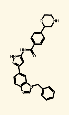 O=C(Nc1cc(-c2ccc3ncn(Cc4ccccc4)c3c2)n[nH]1)c1ccc(C2CNCCO2)cc1